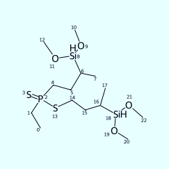 CCP(=S)(CCC(C)[SiH](OC)OC)SCCC(C)[SiH](OC)OC